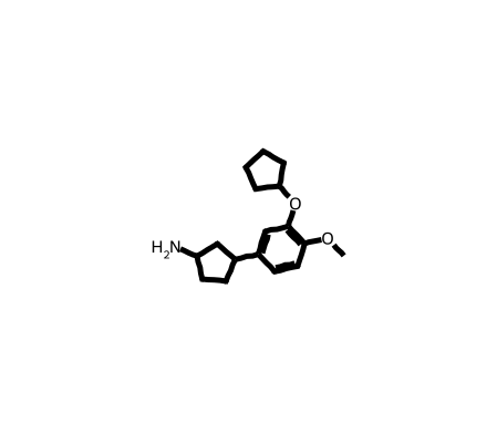 COc1ccc(C2CCC(N)C2)cc1OC1CCCC1